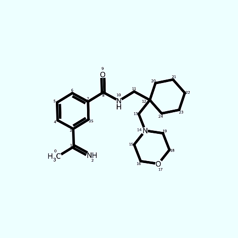 CC(=N)c1cccc(C(=O)NCC2(CN3CCOCC3)CCCCC2)c1